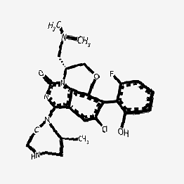 C[C@H]1CNCCN1c1nc(=O)n2c3c(c(-c4c(O)cccc4F)c(Cl)cc13)OC[C@H]2CN(C)C